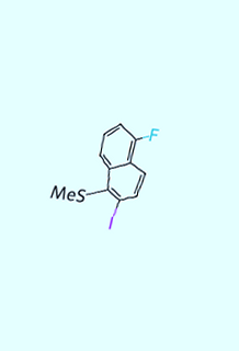 CSc1c(I)ccc2c(F)cccc12